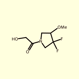 COC1CN(C(=O)CO)CC1(F)F